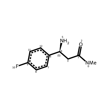 CNC(=O)C[C@H](N)c1ccc(F)cc1